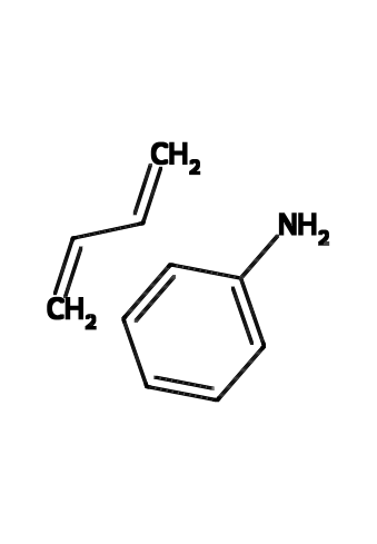 C=CC=C.Nc1ccccc1